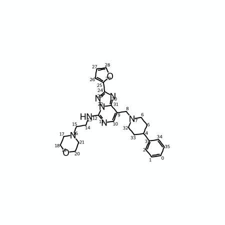 c1ccc(C2CCN(Cc3cnc(NCCN4CCOCC4)n4nc(-c5ccco5)nc34)CC2)cc1